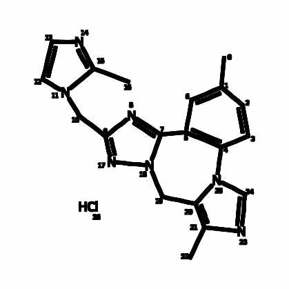 Cc1ccc2c(c1)-c1nc(Cn3ccnc3C)nn1Cc1c(C)ncn1-2.Cl